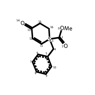 COC(=O)S1(Cc2ccccc2)C=CC(=O)CC1